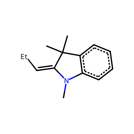 CCC=C1N(C)c2ccccc2C1(C)C